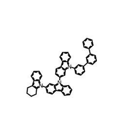 c1ccc(-c2cccc(-c3cccc(-n4c5ccccc5c5ccc(-n6c7ccccc7c7ccc(-n8c9c(c%10ccccc%108)CCCC9)cc76)cc54)c3)c2)cc1